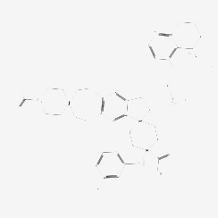 CC(=O)N1CCC2(CC1)COc1cc3c(cc1OC2)C1(CCC(Nc2cccc(Cl)c2)(C(=O)O)CC1)[C@@H](C[C@@H](C)COc1ccnc2c1[C@H](C)CCC2)C3